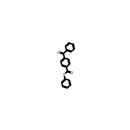 O=C(Sc1ccccc1)c1ccc(C(=O)c2ccccc2)cc1